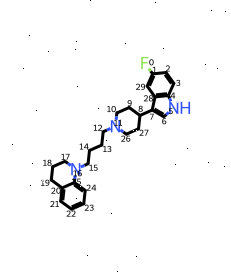 Fc1ccc2[nH]cc(C3CCN(CCCCN4CCCc5ccccc54)CC3)c2c1